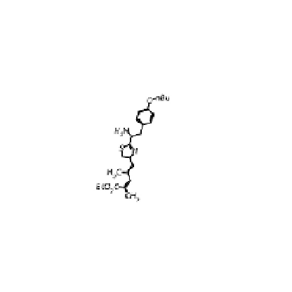 CCCCOc1ccc(C[C@H](N)C2=NC(/C=C(C)/C=C(/C)C(=O)OCC)CS2)cc1